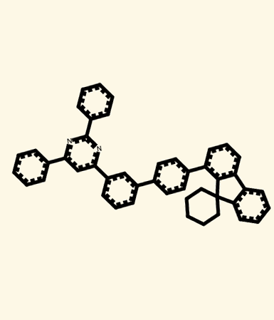 c1ccc(-c2cc(-c3cccc(-c4ccc(-c5cccc6c5C5(CCCCC5)c5ccccc5-6)cc4)c3)nc(-c3ccccc3)n2)cc1